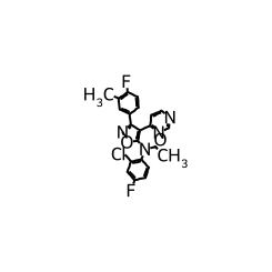 CC(=O)N(c1ccc(F)cc1Cl)c1onc(-c2ccc(F)c(C)c2)c1-c1ccncn1